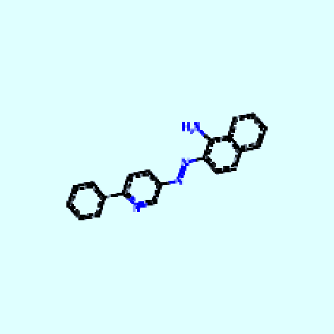 Nc1c(N=Nc2ccc(-c3ccccc3)nc2)ccc2ccccc12